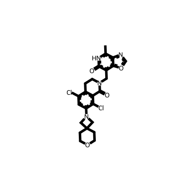 Cc1[nH]c(=O)c(CN2CCc3c(Cl)cc(N4CC5(CCOCC5)C4)c(Cl)c3C2=O)c2ocnc12